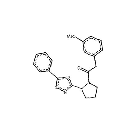 COc1cccc(CC(=O)N2CCCC2c2nnc(-c3ccccc3)o2)c1